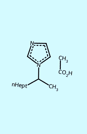 CC(=O)O.CCCCCCCC(C)n1ccnc1